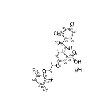 O=C(Nc1ccc(OCCOc2c(F)ccc(F)c2F)cc1C(=O)O)c1ccc(Cl)cc1Cl.[LiH]